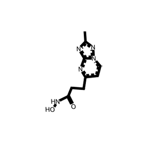 Cc1nc2nc(CCC(=O)NO)c[c]n2n1